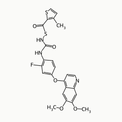 COc1cc2nccc(Oc3ccc(NC(=O)NSC(=O)c4sccc4C)c(F)c3)c2cc1OC